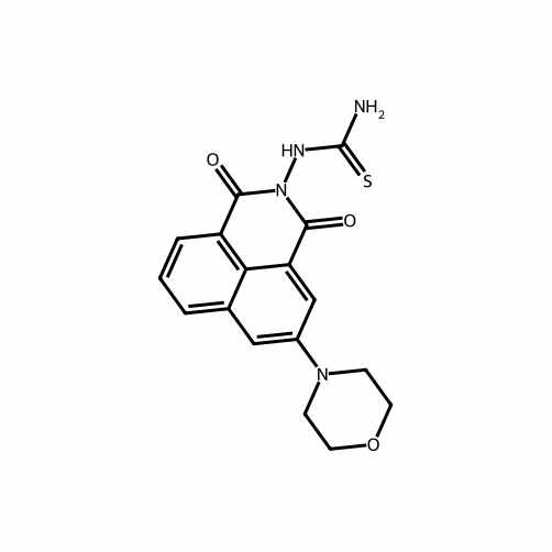 NC(=S)NN1C(=O)c2cccc3cc(N4CCOCC4)cc(c23)C1=O